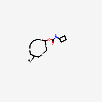 CC1CCCCCCC(OC(=O)NC2CCC2)CCCC1